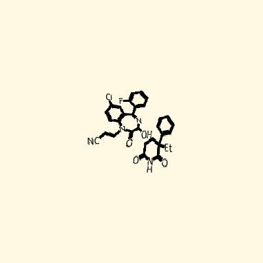 CCC1(c2ccccc2)CCC(=O)NC1=O.N#CCCN1C(=O)C(O)N=C(c2ccccc2F)c2cc(Cl)ccc21